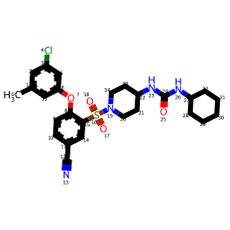 Cc1cc(Cl)cc(Oc2ccc(C#N)cc2S(=O)(=O)N2CCC(NC(=O)NC3CCCCC3)CC2)c1